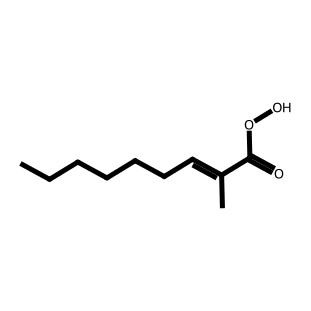 CCCCCC/C=C(\C)C(=O)OO